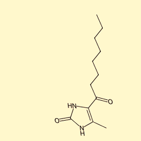 CCCCCCCC(=O)c1[nH]c(=O)[nH]c1C